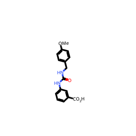 COc1ccc(CNC(=O)Nc2cccc(C(=O)O)c2)cc1